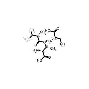 CC(C)[C@H](N)C(=O)O[C@H](C)[C@H](N)C(=O)O.N[C@@H](CO)C(=O)O